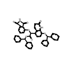 O=C1NC(=O)c2c(OC(C(=O)OC(c3ccccc3)c3ccccc3)c3ccc(OC(c4ccccc4)c4ccccc4)c4[nH]c(=O)ccc34)cccc21